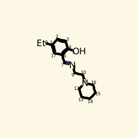 CCc1ccc(O)c(/C=N/CCN2CCCCC2)c1